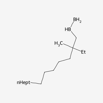 BBCC(C)(CC)CCCCCCCCCCCC